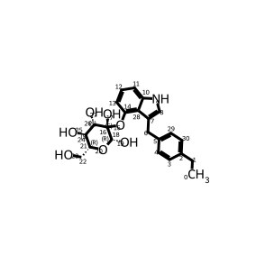 CCc1ccc(Cc2c[nH]c3cccc(O[C@]4(O)[C@H](O)O[C@H](CO)[C@@H](O)[C@@H]4O)c23)cc1